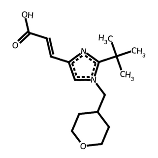 CC(C)(C)c1nc(C=CC(=O)O)cn1CC1CCOCC1